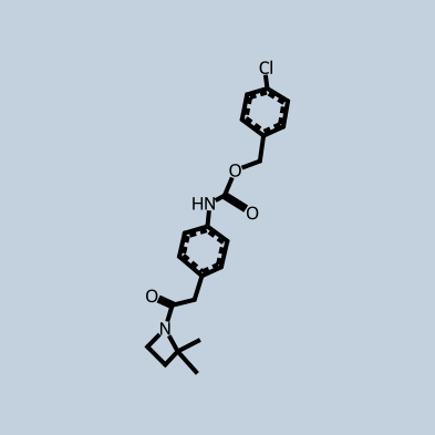 CC1(C)CCN1C(=O)Cc1ccc(NC(=O)OCc2ccc(Cl)cc2)cc1